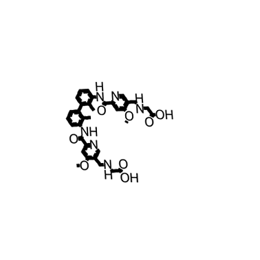 COc1cc(C(=O)Nc2cccc(-c3cccc(NC(=O)c4cc(OC)c(CNCC(=O)O)cn4)c3C)c2C)ncc1CNCC(=O)O